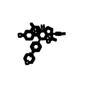 CC#C[C@]1(C(C)=O)CC[C@H]2[C@@H]3CC(C)C4=CC(=O)CCC4=C3[C@@H](c3ccc(N4CCOCC4)cc3)C[C@@]21C